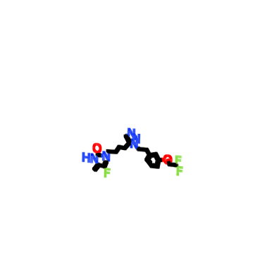 C=C1NC(=O)N(CCCCc2cnnn2CCc2cccc(OCC(F)F)c2)C=C1F